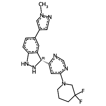 Cn1cc(-c2ccc3c(c2)[C@H](c2cc(N4CCCC(F)(F)C4)ncn2)NN3)cn1